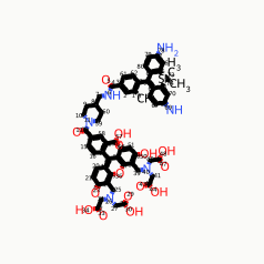 Cc1cc(C(=O)NCC2CCN(C(=O)c3ccc(-c4c5ccc(=O)c(CN(CC(=O)O)CC(=O)O)c-5oc5c(CN(CC(=O)O)CC(=O)O)c(O)ccc45)c(C(=O)O)c3)CC2)ccc1C1=C2C=CC(=N)C=C2[Si](C)(C)c2cc(N)ccc21